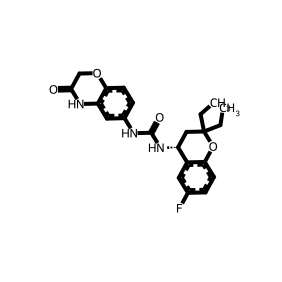 CCC1(CC)C[C@@H](NC(=O)Nc2ccc3c(c2)NC(=O)CO3)c2cc(F)ccc2O1